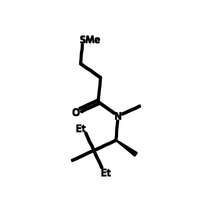 CCC(C)(CC)[C@H](C)N(C)C(=O)CCSC